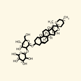 C[C@@H]1CC[C@@]2(OC1)O[C@H]1C[C@H]3[C@@H]4CC=C5CC(O[C@@H]6OC(CO)[C@@H](O)[C@H](O)C6O[C@@H]6OC(O)[C@H](O)[C@H](O)C6O)CC[C@]5(C)[C@H]4CC[C@]3(C)[C@H]1[C@@H]2C